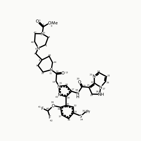 COC(=O)N1CCN(CC2CCN(C(=O)Cn3cc(NC(=O)C4=C5N=CC=CN5NC4)c(-c4cc(SC(C)C)ccc4OC(F)F)n3)CC2)CC1